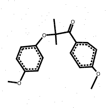 COc1ccc(OC(C)(C)C(=O)c2ccc(OC)cc2)cc1